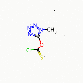 Cn1nnnc1OC(=S)Cl